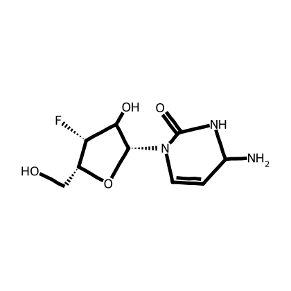 NC1C=CN([C@@H]2O[C@H](CO)[C@H](F)C2O)C(=O)N1